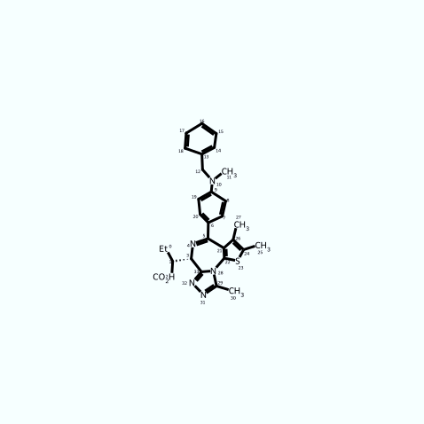 CCC(C(=O)O)[C@@H]1N=C(c2ccc(N(C)Cc3ccccc3)cc2)c2c(sc(C)c2C)-n2c(C)nnc21